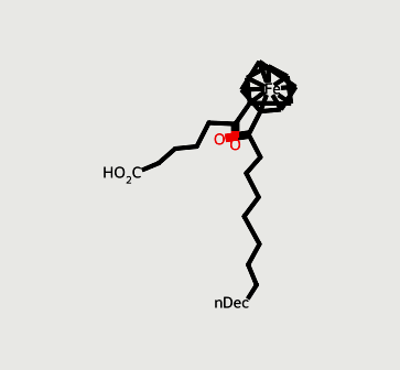 CCCCCCCCCCCCCCCCCC(=O)[C]12[CH]3[CH]4[CH]5[CH]1[Fe]45321678[CH]2[CH]1[CH]6[C]7(C(=O)CCCCC(=O)O)[CH]28